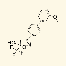 COc1cc(-c2ccc(C3=NOC(O)(C(F)(F)F)C3)cc2)ccn1